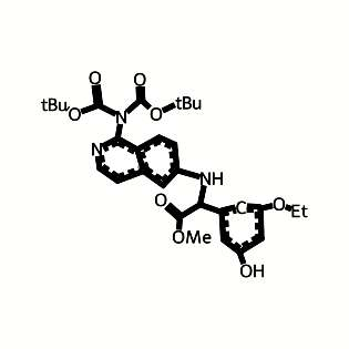 CCOc1cc(O)cc(C(Nc2ccc3c(N(C(=O)OC(C)(C)C)C(=O)OC(C)(C)C)nccc3c2)C(=O)OC)c1